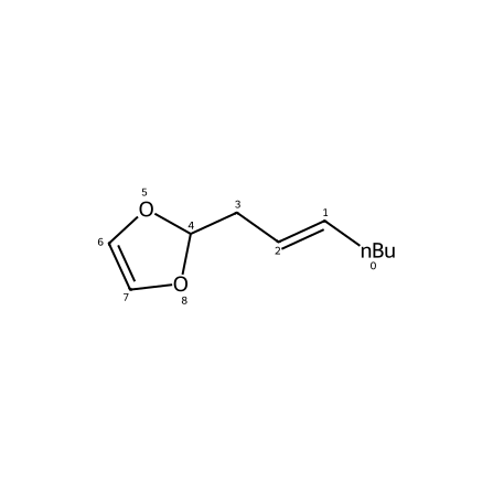 CCCCC=CCC1OC=CO1